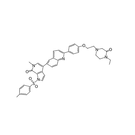 CCN1CCN(CCOc2ccc(-c3ccc4cc(-c5cn(C)c(=O)c6c5ccn6S(=O)(=O)c5ccc(C)cc5)ccc4n3)cc2)CC1=O